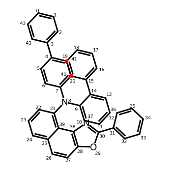 c1ccc(-c2ccc(N(c3ccccc3-c3ccccc3)c3cccc4ccc5oc(-c6ccccc6)nc5c34)cc2)cc1